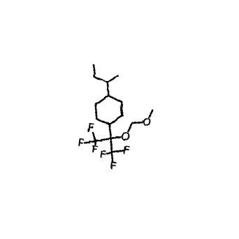 CCC(C)C1CCC(C(OCOC)(C(F)(F)F)C(F)(F)F)CC1